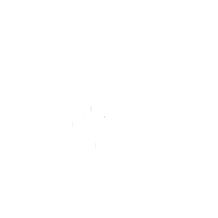 O=S(=O)(C(I)(I)Cc1ccccc1)C(I)(I)Cc1ccccc1